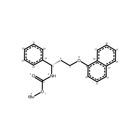 CC(C)(C)OC(=O)N[C@@H](CCOc1cccc2ccccc12)c1ccccc1